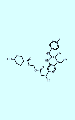 CC[C@@H](CC(=O)OCOC(=O)[C@H]1CC[C@H](O)CC1)c1ccc(N(CC(C)C)CC(C)C)c(NC(=O)Nc2ccc(C)cc2)c1